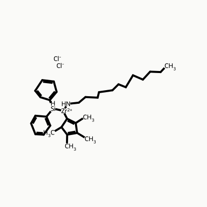 CCCCCCCCCCCC[NH][Zr+2]([C]1=C(C)C(C)=C(C)C1C)[SiH](c1ccccc1)c1ccccc1.[Cl-].[Cl-]